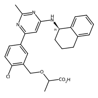 Cc1nc(N[C@@H]2CCCc3ccccc32)cc(-c2ccc(Cl)c(COC(C)C(=O)O)c2)n1